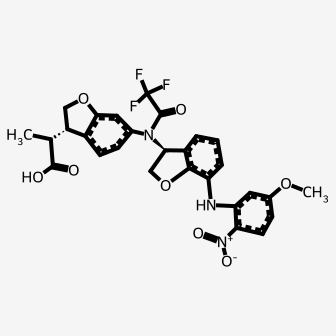 COc1ccc([N+](=O)[O-])c(Nc2cccc3c2OC[C@H]3N(C(=O)C(F)(F)F)c2ccc3c(c2)OC[C@H]3C(C)C(=O)O)c1